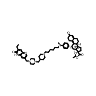 CCc1cc2ncc(CN3CCN(CC4CCN(CCCCCCN(C)c5ccc([C@H]6C[C@@]7(C)[C@@H](CC[C@]7(OC(C)=O)C(C)=O)[C@@H]7CCC8=CC(=O)CCC8=C76)cc5)CC4)CC3)cc2[nH]c1=O